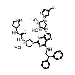 CCc1cnn([C@H]2C[C@@H](n3cnc4c(NCC(c5ccccc5)c5ccccc5)nc(N5CC[C@@H](NC(=O)NC6CCNC6)C5)nc43)[C@H](O)[C@@H]2O)c1.Cl